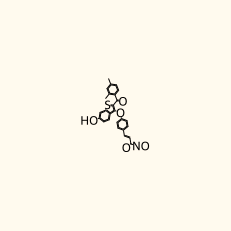 Cc1ccc(C(=O)c2sc3cc(O)ccc3c2Oc2ccc(/C=C/C(=O)N=O)cc2)c(C)c1